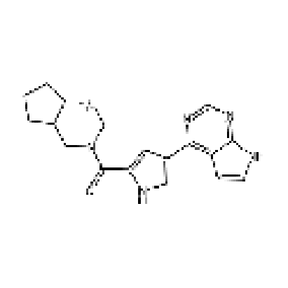 O=C(c1cc(-c2ncnc3[nH]ccc23)c[nH]1)N(CC1CCCC1)CC(F)(F)F